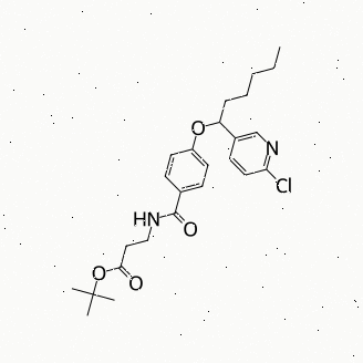 CCCCCC(Oc1ccc(C(=O)NCCC(=O)OC(C)(C)C)cc1)c1ccc(Cl)nc1